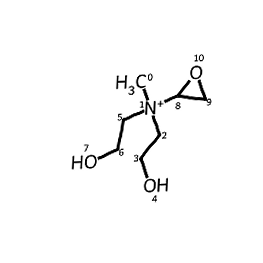 C[N+](CCO)(CCO)C1CO1